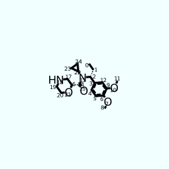 CC[C@H](c1ccc(OC)c(OC)c1)N(C(=O)[C@H]1CNCCO1)C1CC1